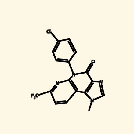 Cn1cnc2c(=O)n(-c3ccc(Cl)cc3)c3nc(C(F)(F)F)ccc3c21